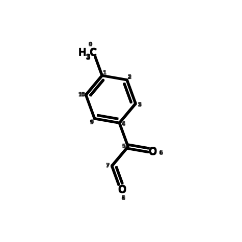 Cc1ccc(C(=O)C=O)cc1